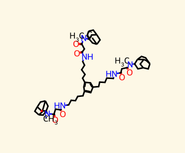 CN(C(=O)CC(=O)NCCCCCc1cc(CCCCCNC(=O)CC(=O)N(C)C23CC4CC(CC(C4)C2)C3)cc(CCCCCNC(=O)CC(=O)N(C)C23CC4CC(CC(C4)C2)C3)c1)C1CC2CC3CCC1C(C3)C2